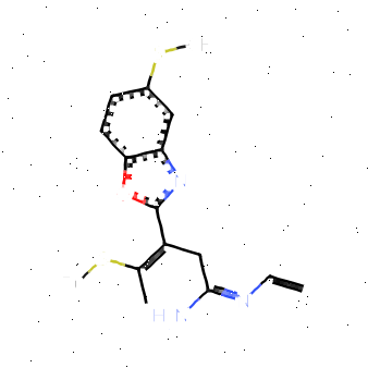 C=C/N=C(/N)C/C(=C(\C)SCC)c1nc2cc(SC(F)(F)F)ccc2o1